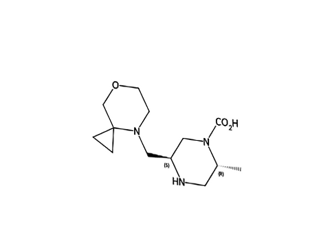 C[C@@H]1CN[C@@H](CN2CCOCC23CC3)CN1C(=O)O